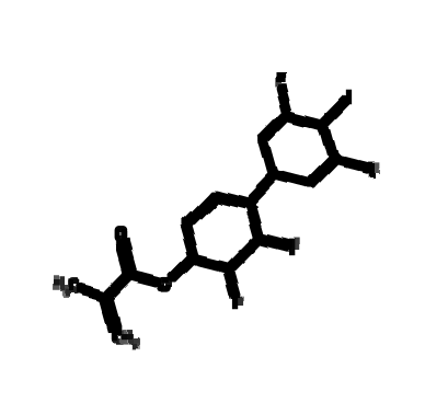 C=C(C)C(=O)OC1CCC(C2CC(F)C(I)C(F)C2)C(F)C1F